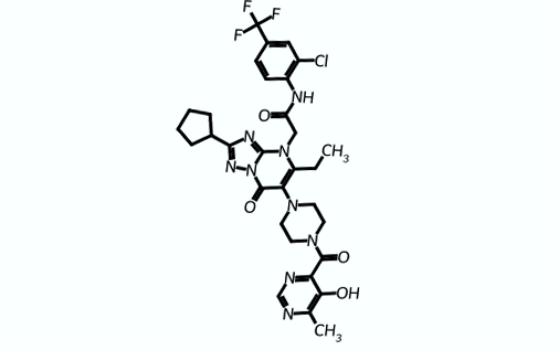 CCc1c(N2CCN(C(=O)c3ncnc(C)c3O)CC2)c(=O)n2nc(C3CCCC3)nc2n1CC(=O)Nc1ccc(C(F)(F)F)cc1Cl